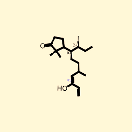 C=C/C(O)=C\C(C)CC[C@@H](C1CCC(=O)C1(C)C)[C@@H](I)CC